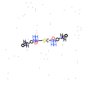 O=C(NCCCCSSCCCCNC(=O)NC1CCC(CCN2[C@@H]3CC[C@H]2c2ccccc23)CC1)NC1CCC(CCN2[C@@H]3CC[C@H]2c2ccccc23)CC1